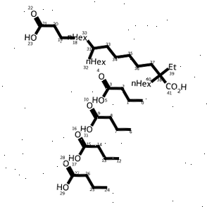 CCCC(=O)O.CCCC(=O)O.CCCC(=O)O.CCCC(=O)O.CCCC(=O)O.CCCCCCC(CCCCCC)CCCCCC(CC)(CCCCCC)C(=O)O